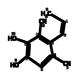 C/C=C\c1c(C#N)cc(O)c(O)c1C#N